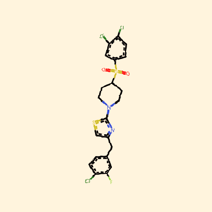 O=S(=O)(c1ccc(Cl)c(Cl)c1)C1CCN(c2nc(Cc3ccc(Cl)c(F)c3)cs2)CC1